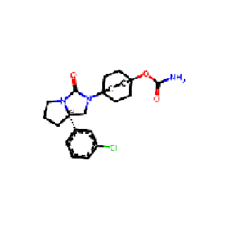 NC(=O)OC12CCC(N3C[C@@]4(c5cccc(Cl)c5)CCCN4C3=O)(CC1)CC2